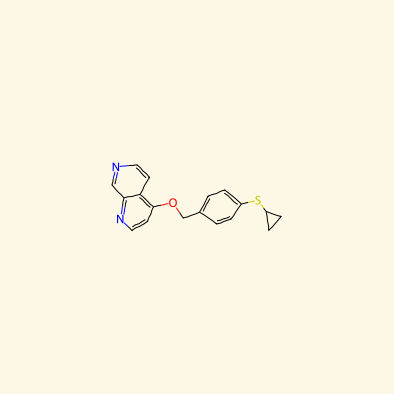 c1cc2c(OCc3ccc(SC4CC4)cc3)ccnc2cn1